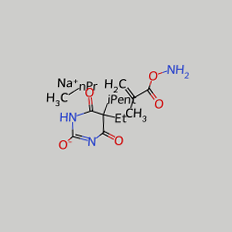 C=C(C)C(=O)ON.CCCC.CCCC(C)C1(CC)C(=O)N=C([O-])NC1=O.[Na+]